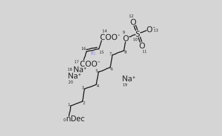 CCCCCCCCCCCCCCCCCCOS(=O)(=O)[O-].O=C([O-])/C=C/C(=O)[O-].[Na+].[Na+].[Na+]